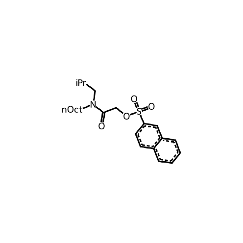 CCCCCCCCN(CC(C)C)C(=O)COS(=O)(=O)c1ccc2ccccc2c1